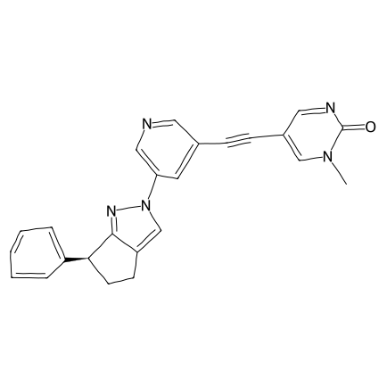 Cn1cc(C#Cc2cncc(-n3cc4c(n3)[C@H](c3ccccc3)CC4)c2)cnc1=O